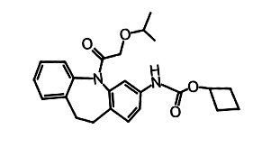 CC(C)OCC(=O)N1c2ccccc2CCc2ccc(NC(=O)OC3CCC3)cc21